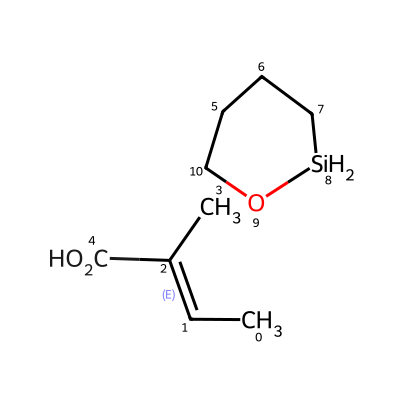 C/C=C(\C)C(=O)O.C1CC[SiH2]OC1